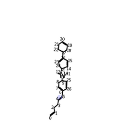 C=CCC/C=C/C1=CCC([N+](C)(C)C2C=CC(C3CC=CCC3)=CC2)C=C1